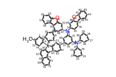 Cc1ccc(C2(c3ccccc3)c3cc(-c4cc(N(c5ccccc5)c5ccccc5)cc(N(c5ccc6c(c5)oc5ccccc56)c5ccc6c(c5)oc5ccccc56)c4)ccc3-c3c2ccc2ccccc32)cc1